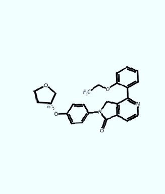 O=C1c2ccnc(-c3ccccc3OCC(F)(F)F)c2CN1c1ccc(O[C@@H]2CCOC2)cc1